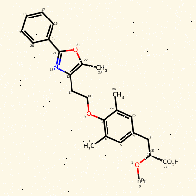 CCCO[C@@H](Cc1cc(C)c(OCCc2nc(-c3ccccc3)oc2C)c(C)c1)C(=O)O